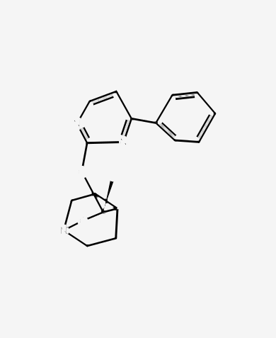 c1ccc(-c2ccnc(O[C@H]3CN4CCC3CC4)n2)cc1